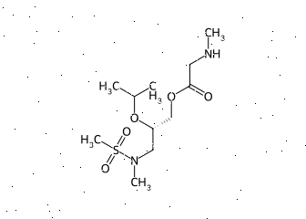 CNCC(=O)OC[C@H](CN(C)S(C)(=O)=O)OC(C)C